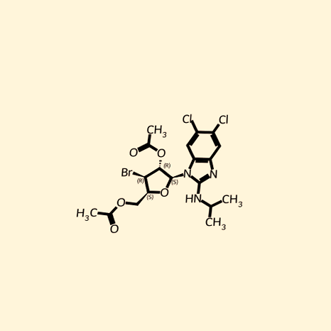 CC(=O)OC[C@@H]1O[C@H](n2c(NC(C)C)nc3cc(Cl)c(Cl)cc32)[C@@H](OC(C)=O)[C@@H]1Br